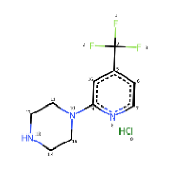 Cl.FC(F)(F)c1ccnc(N2CCNCC2)c1